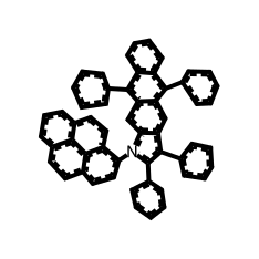 c1ccc(-c2c3ccccc3c(-c3ccccc3)c3cc4c(cc23)c(-c2ccccc2)c(-c2ccccc2)n4-c2ccc3ccc4cccc5ccc2c3c45)cc1